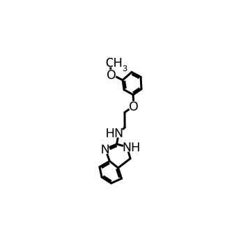 COc1cccc(OCCNC2=Nc3ccccc3CN2)c1